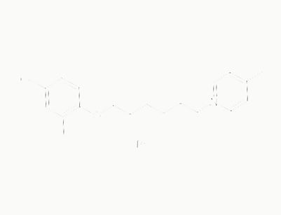 Cc1cc[n+](CCCCCCOc2ccc(Cl)cc2C)cc1.[Br-]